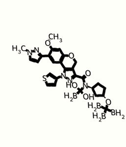 BC(B)(B)O[C@H]1CC[C@H](N(C(=O)c2nn(-c3ccsc3)c3c2COc2cc(OC)c(-c4ccn(C)n4)cc2-3)C(B)(O)O)C1